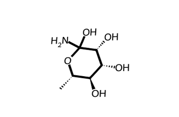 C[C@@H]1OC(N)(O)[C@H](O)[C@H](O)[C@H]1O